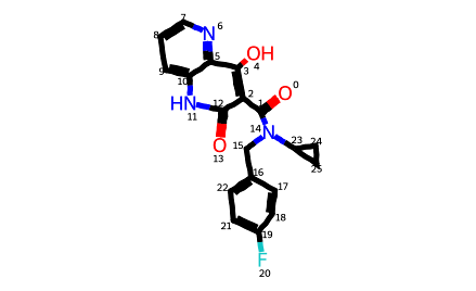 O=C(c1c(O)c2ncccc2[nH]c1=O)N(Cc1ccc(F)cc1)C1CC1